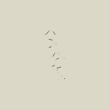 Cc1c(C(=O)C(=O)N[C@]2(C)CSC2(O)I)c2n(c1C(=O)Nc1ccc(F)c(F)c1)CCC2